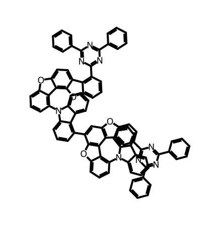 c1ccc(-c2nc(-c3ccccc3)nc(-c3ccc4oc5cc(-c6cccc7c6c6ccccc6n7-c6cccc7oc8ccc9c(oc%10cccc(-c%11nc(-c%12ccccc%12)nc(-c%12ccccc%12)n%11)c%109)c8c67)c6oc7cccc(-n8c9ccccc9c9ccccc98)c7c6c5c4c3)n2)cc1